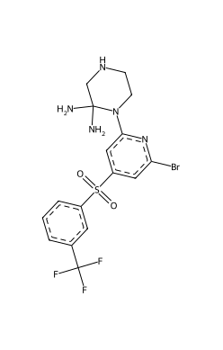 NC1(N)CNCCN1c1cc(S(=O)(=O)c2cccc(C(F)(F)F)c2)cc(Br)n1